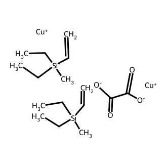 C=C[Si](C)(CC)CC.C=C[Si](C)(CC)CC.O=C([O-])C(=O)[O-].[Cu+].[Cu+]